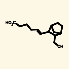 O=C(O)CCCC=CC1C2CCC(C2)C1CO